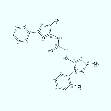 N#Cc1cc(-c2ccccc2)oc1NC(=O)COc1cc(C(F)(F)F)nn1-c1ccccc1Cl